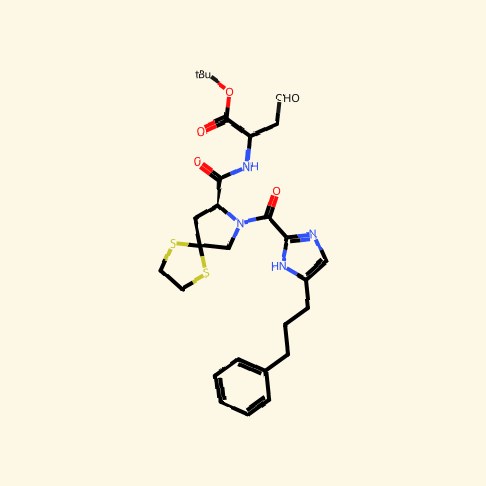 CC(C)(C)OC(=O)C(CC=O)NC(=O)[C@@H]1CC2(CN1C(=O)c1ncc(CCCc3ccccc3)[nH]1)SCCS2